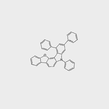 c1ccc(-c2cc(-c3ccccc3)c3c4c5oc6ccccc6c5ccc4n(-c4ccccc4)c3c2)cc1